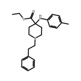 CCOC(=O)C1(Nc2ccc(C)cc2)CCN(CCc2ccccc2)CC1